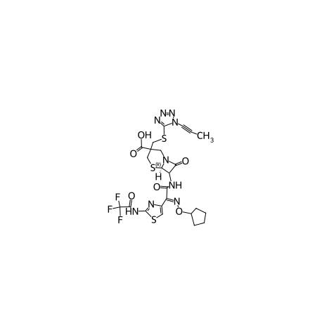 CC#Cn1nnnc1SCC1(C(=O)O)CS[C@@H]2C(NC(=O)C(=NOC3CCCC3)c3csc(NC(=O)C(F)(F)F)n3)C(=O)N2C1